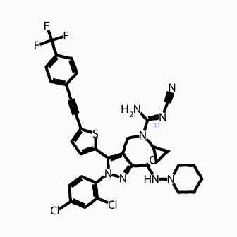 N#C/N=C(\N)N(Cc1c(C(=O)NN2CCCCC2)nn(-c2ccc(Cl)cc2Cl)c1-c1ccc(C#Cc2ccc(C(F)(F)F)cc2)s1)C1CC1